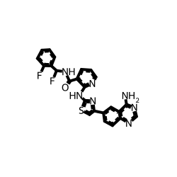 Nc1ncnc2ccc(-c3csc(Nc4ncccc4C(=O)NC(F)c4ccccc4F)n3)cc12